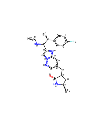 CC[C@@H](c1ccc(F)cc1)[C@H](NC(=O)O)c1cn2ncc(CC3C[C@@H](C(F)(F)F)NC3=O)cc2n1